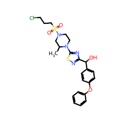 CC1CN(S(=O)(=O)CCCCl)CCN1c1nc(C(O)c2ccc(Oc3ccccc3)cc2)ns1